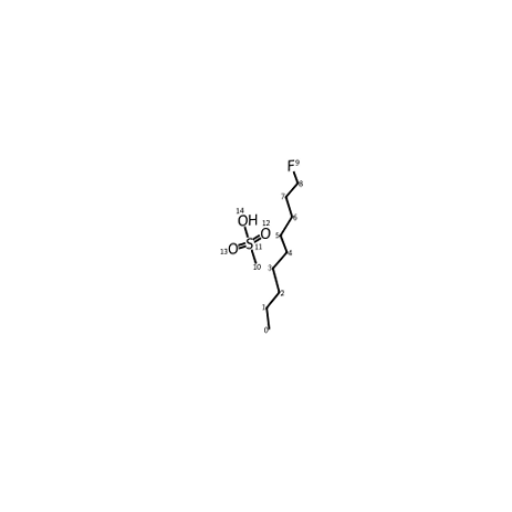 CCCCCCCCCF.CS(=O)(=O)O